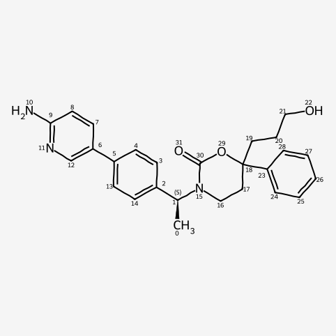 C[C@@H](c1ccc(-c2ccc(N)nc2)cc1)N1CCC(CCCO)(c2ccccc2)OC1=O